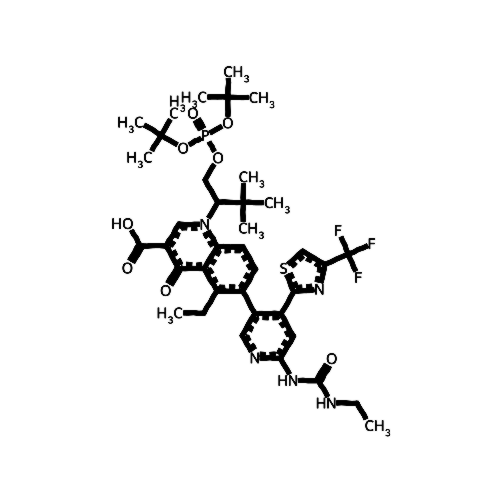 CCNC(=O)Nc1cc(-c2nc(C(F)(F)F)cs2)c(-c2ccc3c(c2CC)c(=O)c(C(=O)O)cn3C(COP(=O)(OC(C)(C)C)OC(C)(C)C)C(C)(C)C)cn1